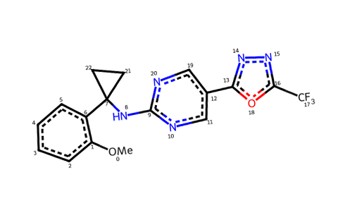 COc1ccccc1C1(Nc2ncc(-c3nnc(C(F)(F)F)o3)cn2)CC1